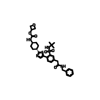 CC(C)(C)NS(=O)(=O)c1cc(CC(=O)NCc2ccccc2)ccc1-c1cnc([C@H]2CC[C@H](NC(=O)OC3COC3)CC2)s1